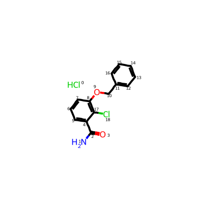 Cl.NC(=O)c1cccc(OCc2ccccc2)c1Cl